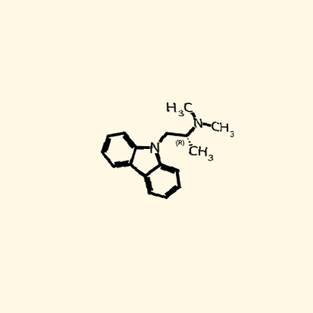 C[C@H](Cn1c2ccccc2c2ccccc21)N(C)C